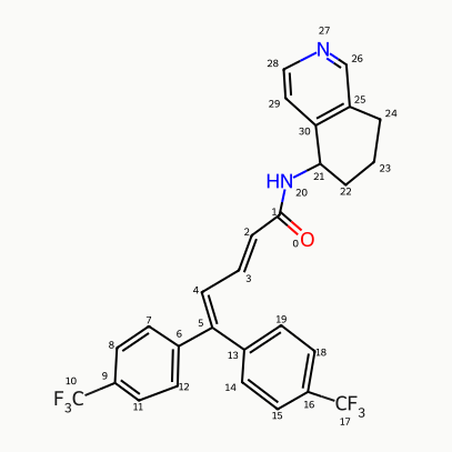 O=C(C=CC=C(c1ccc(C(F)(F)F)cc1)c1ccc(C(F)(F)F)cc1)NC1CCCc2cnccc21